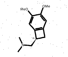 COc1cc2c(cc1OC)[C@H](CN(C)C)C2